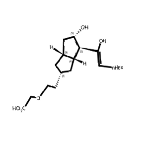 CCCCCCC=C(O)[C@H]1[C@@H]2C[C@H](CCOCC(=O)O)C[C@@H]2C[C@@H]1O